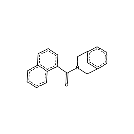 O=C(c1cccc2ccccc12)N1Cc2cccc(c2)C1